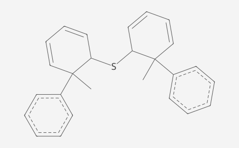 CC1(c2ccccc2)C=CC=CC1SC1C=CC=CC1(C)c1ccccc1